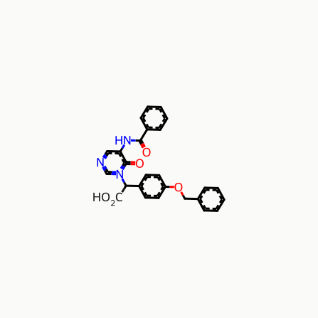 O=C(Nc1cncn(C(C(=O)O)c2ccc(OCc3ccccc3)cc2)c1=O)c1ccccc1